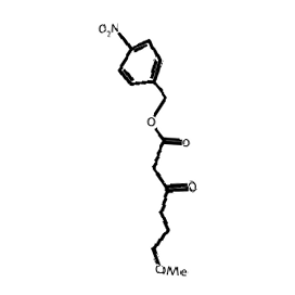 COCCCC(=O)CC(=O)OCc1ccc([N+](=O)[O-])cc1